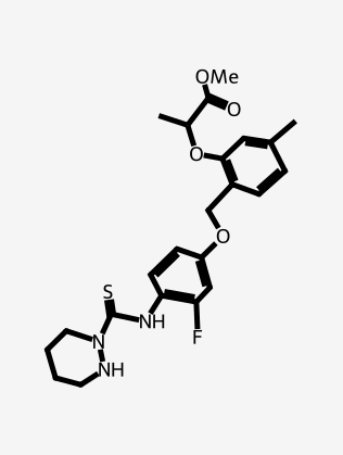 COC(=O)C(C)Oc1cc(C)ccc1COc1ccc(NC(=S)N2CCCCN2)c(F)c1